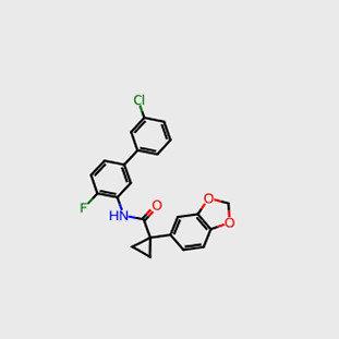 O=C(Nc1cc(-c2cccc(Cl)c2)ccc1F)C1(c2ccc3c(c2)OCO3)CC1